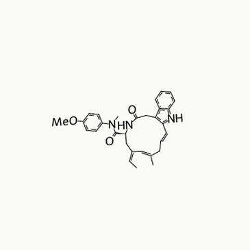 C/C=C1\C=C(/C)C/C=C/c2[nH]c3ccccc3c2CC(=O)N[C@H](C(=O)N(C)c2ccc(OC)cc2)C1